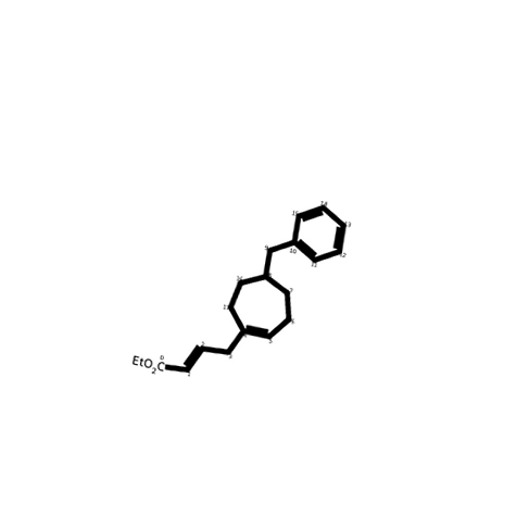 CCOC(=O)C=CCC1=CCCC(Cc2ccccc2)CC1